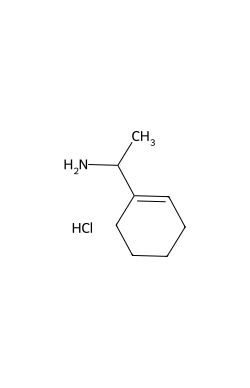 CC(N)C1=CCCCC1.Cl